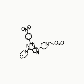 O=COCCN1CCC(n2ncc3c(N4CCOCC4)nc(-c4ccc([N+](=O)[O-])cc4)nc32)CC1